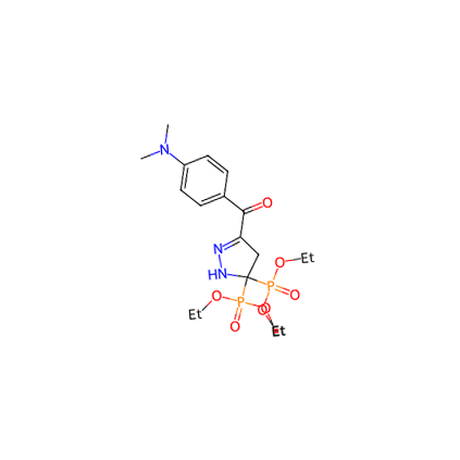 CCOP(=O)(OCC)C1(P(=O)(OCC)OCC)CC(C(=O)c2ccc(N(C)C)cc2)=NN1